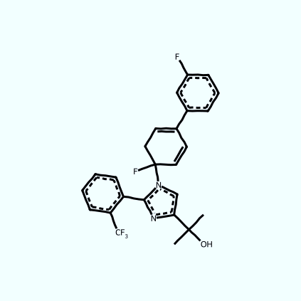 CC(C)(O)c1cn(C2(F)C=CC(c3cccc(F)c3)=CC2)c(-c2ccccc2C(F)(F)F)n1